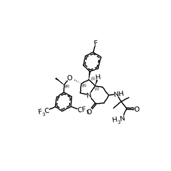 C[C@@H](O[C@H]1CN2C(=O)CC(NC(C)(C)C(N)=O)C[C@H]2[C@@H]1c1ccc(F)cc1)c1cc(C(F)(F)F)cc(C(F)(F)F)c1